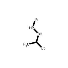 CCC(C)BPC(C)C